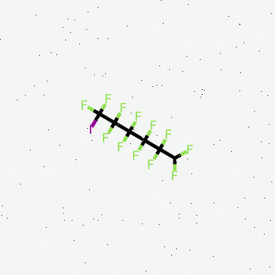 FC(F)C(F)(F)C(F)(F)C(F)(F)C(F)(F)C(F)(F)I